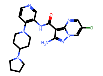 Nc1nn2cc(Cl)cnc2c1C(=O)Nc1cnccc1N1CCC(N2CCCC2)CC1